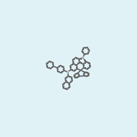 c1ccc(-c2ccc(N(c3ccc4ccccc4c3)c3cc4c5c(ccc6c5c5c(cccc5n6-c5ccccc5)C45c4ccccc4-c4ccccc45)c3)cc2)cc1